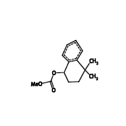 COC(=O)OC1CCC(C)(C)c2ccccc21